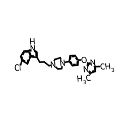 Cc1cc(C)nc(Oc2ccc(N3CCN(CCCc4c[nH]c5ccc(Cl)cc45)CC3)cc2)n1